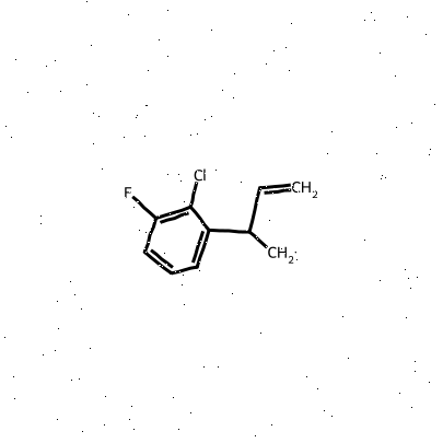 [CH2]C(C=C)c1cccc(F)c1Cl